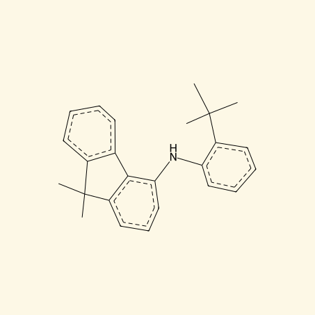 CC(C)(C)c1ccccc1Nc1cccc2c1-c1ccccc1C2(C)C